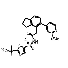 COc1cc(-c2ccc3c(c2CC(=O)NS(=O)(=O)c2cnc(C(C)(C)O)s2)CCC3)ccn1